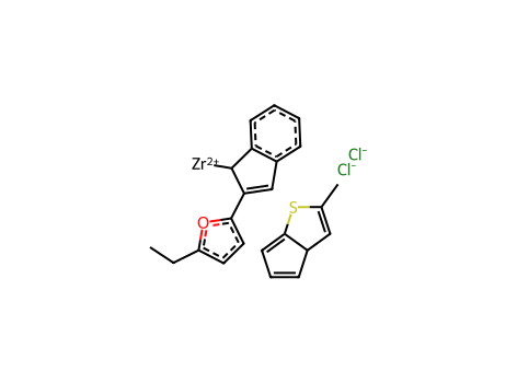 CC1=CC2C=CC=C2S1.CCc1ccc(C2=Cc3ccccc3[CH]2[Zr+2])o1.[Cl-].[Cl-]